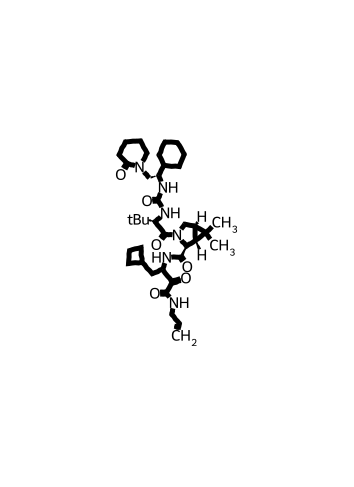 C=CCNC(=O)C(=O)C(CC1CCC1)NC(=O)[C@@H]1[C@@H]2[C@H](CN1C(=O)[C@@H](NC(=O)N[C@H](CN1CCCCC1=O)C1CCCCC1)C(C)(C)C)C2(C)C